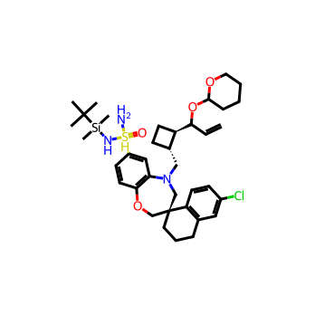 C=CC(OC1CCCCO1)[C@@H]1CC[C@H]1CN1C[C@@]2(CCCc3cc(Cl)ccc32)COc2ccc([SH](N)(=O)N[Si](C)(C)C(C)(C)C)cc21